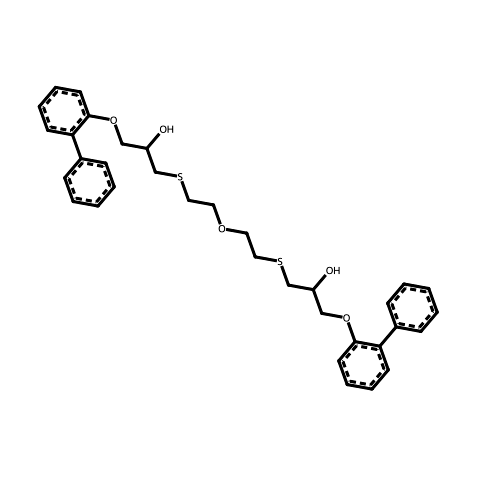 OC(COc1ccccc1-c1ccccc1)CSCCOCCSCC(O)COc1ccccc1-c1ccccc1